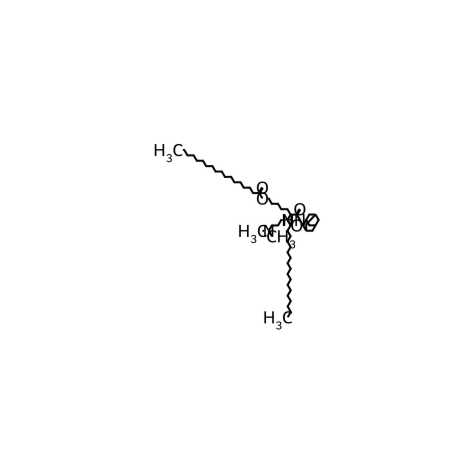 CCCCCCCCCCCCCCCCCC(=O)OCCCCCC(C(=O)NC12CC3CC(CC(C3)C1)C2)N(CCCN(C)C)C(=O)CCCCCCCCCCCCCCCCC